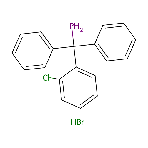 Br.PC(c1ccccc1)(c1ccccc1)c1ccccc1Cl